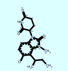 CCC(C)c1c(Cl)ccc2c1n(C)c(=O)n2C1CCC(=O)NC1=O